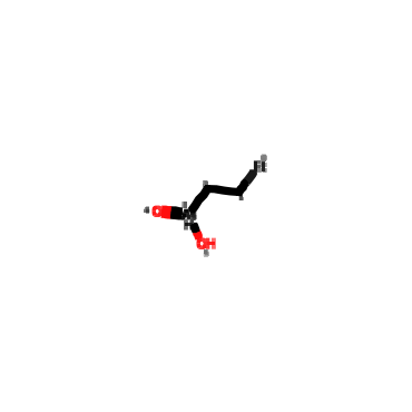 CCCC[AsH](=O)O